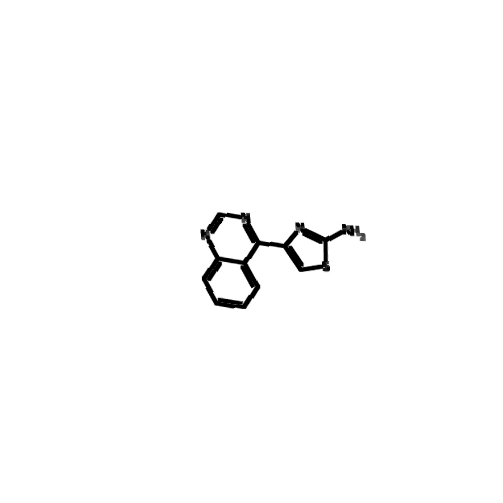 Nc1nc(-c2ncnc3ccccc23)cs1